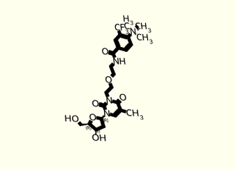 Cc1cn([C@H]2C[C@H](O)[C@@H](CO)O2)c(=O)n(CCOCCNC(=O)c2ccc([N+](C)(C)C)c(C(F)(F)F)c2)c1=O